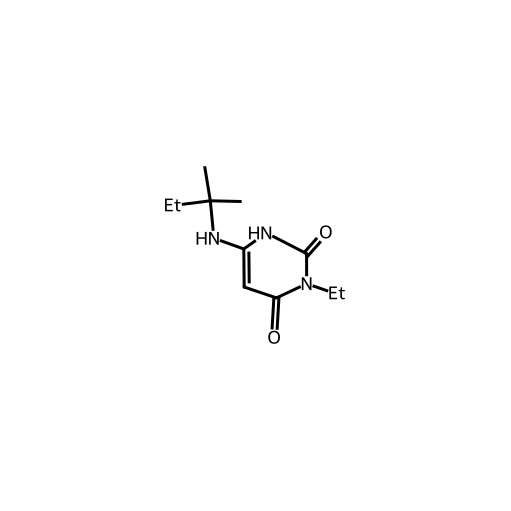 CCn1c(=O)cc(NC(C)(C)CC)[nH]c1=O